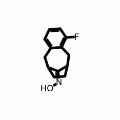 ON=C1C2CCC1Cc1c(F)cccc1C2